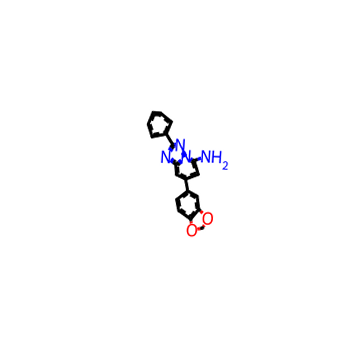 Nc1cc(-c2ccc3c(c2)OCO3)cc2nc(-c3ccccc3)nn12